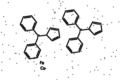 C1=CC(P(c2ccccc2)c2ccccc2)C=C1.C1=CC(P(c2ccccc2)c2ccccc2)C=C1.[Co].[Fe]